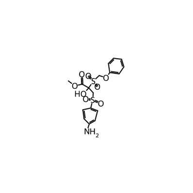 COC(=O)C(O)(CS(=O)(=O)c1ccc(N)cc1)S(=O)(=O)COc1ccccc1